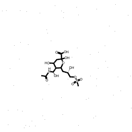 CC(=O)N[C@@H](O)C1C(O)CC(O)(C(=O)O)OC1C[C@H](O)COS(C)(=O)=O